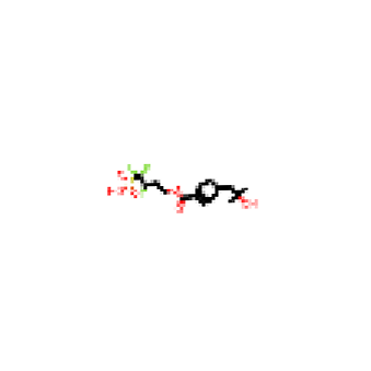 CC(C)(O)CC1CC2CC1CC2C(=O)OCCC(F)C(F)(F)S(=O)(=O)O